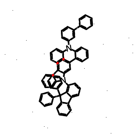 c1ccc(-c2cccc(N(c3ccccc3)c3ccccc3-c3ccc4c5ccccc5n(-c5cccc6c5C(c5ccccc5)(c5ccccc5)c5ccccc5-6)c4c3)c2)cc1